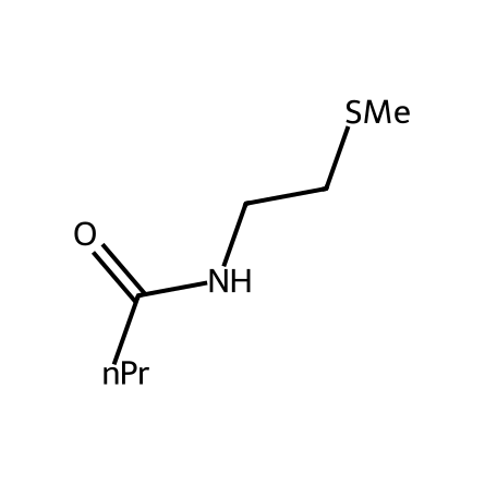 [CH2]CCC(=O)NCCS[CH2]